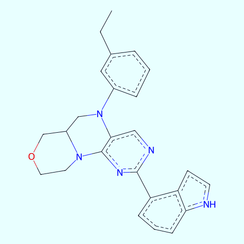 CCc1cccc(N2CC3COCCN3c3nc(-c4cccc5[nH]ccc45)ncc32)c1